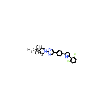 CC(C)(C)C1CCN(c2ncc(-c3ccc(C4CCC(c5c(F)cccc5F)=N4)cc3)cn2)CC1